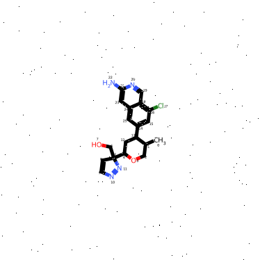 CC1COC(C2(CO)C=CN=N2)CC1c1cc(Cl)c2cnc(N)cc2c1